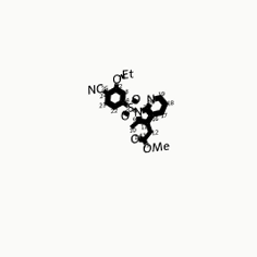 CCOc1cc(S(=O)(=O)n2c(C)c(CC(=O)OC)c3cccnc32)ccc1C#N